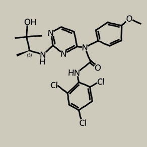 COc1ccc(N(C(=O)Nc2c(Cl)cc(Cl)cc2Cl)c2ccnc(N[C@@H](C)C(C)(C)O)n2)cc1